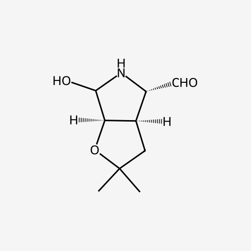 CC1(C)C[C@@H]2[C@@H](C=O)NC(O)[C@@H]2O1